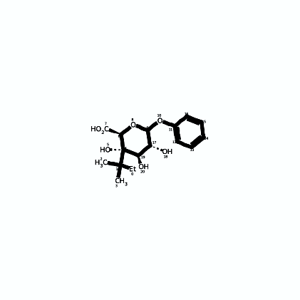 CCC(C)(C)[C@@]1(O)[C@@H](C(=O)O)OC(Oc2ccccc2)[C@H](O)[C@H]1O